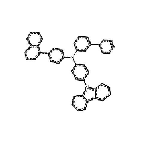 c1ccc(-c2cccc(N(c3ccc(-c4cccc5ccccc45)cc3)c3ccc(-n4c5ccccc5c5ccccc54)cc3)c2)cc#1